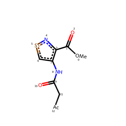 COC(=O)c1nscc1NC(=O)CC(C)=O